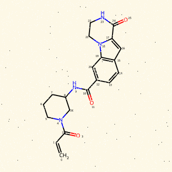 C=CC(=O)N1CCCC(NC(=O)c2ccc3cc4n(c3c2)CCNC4=O)C1